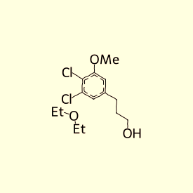 CCOCC.COc1cc(CCCO)cc(Cl)c1Cl